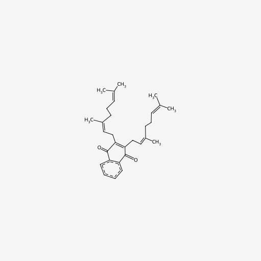 CC(C)=CCCC(C)=CCC1=C(CC=C(C)CCC=C(C)C)C(=O)c2ccccc2C1=O